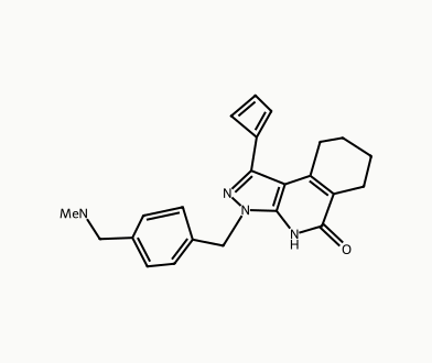 CNCc1ccc(Cn2nc(C3=CC=C3)c3c4c(c(=O)[nH]c32)CCCC4)cc1